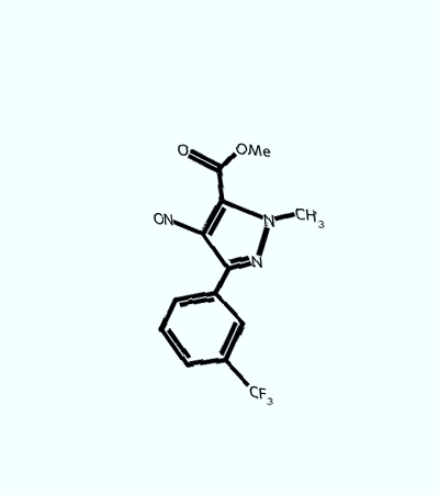 COC(=O)c1c(N=O)c(-c2cccc(C(F)(F)F)c2)nn1C